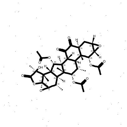 CC(=O)O[C@@H]1[C@H]2[C@@H]3C(=O)C(=O)[C@H]4C[C@@H]5O[C@@H]5[C@H](OC(C)=O)[C@]4(C)[C@H]3[C@H](C)[C@H](OC(C)=O)[C@]2(C)[C@H]2[C@H](C)[C@@H]3O[C@@]34OC(=O)[C@@](C)(O)[C@]4(C)[C@H]12